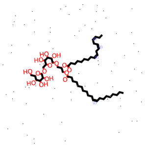 CC/C=C\C/C=C\C/C=C\CCCCCCCC(=O)OC(COC(=O)CCCCCCCCC/C=C\CCCCCCCC)COC1OC(COC2OC(CO)C(O)C(O)C2O)C(O)C(O)C1O